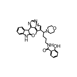 Cc1c(C(CCCNC(=O)c2ccccc2O)N2CCOCC2)cn2ncnc(C3C(=O)Nc4ccccc43)c12